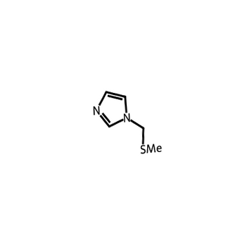 CSCn1ccnc1